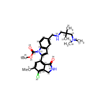 COc1cc(-c2cc3cc(CNCC(C)(C)CN(C)C)ccc3n2C(=O)OC(C)(C)C)c2c(c1Cl)CNC2=O